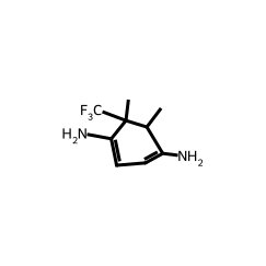 CC1C(N)=CC=C(N)C1(C)C(F)(F)F